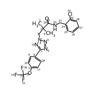 CC(C)(Cn1nnc(-c2ccc(OC(F)(F)F)cc2)n1)C(=O)NCc1ccccc1Cl